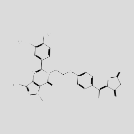 CCCc1nn(C)c2c(=O)n(CCNc3ccc(/C(C)=C4\SC(=O)CC4=O)cc3)c(-c3ccc(OC)c(OC)c3)nc12